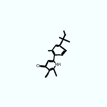 CCC(C)(C)c1ccc(-c2cc(=O)c(C)c(C)[nH]2)c(C)c1